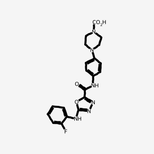 O=C(Nc1ccc(N2CCN(C(=O)O)CC2)cc1)c1nnc(Nc2ccccc2F)o1